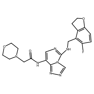 O=C(CN1CCOCC1)Nc1cnc(NCc2c(F)ccc3c2CCO3)n2cnnc12